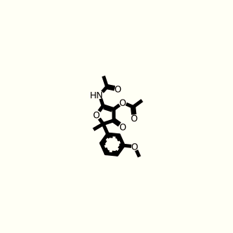 COc1cccc(C2(C)OC(NC(C)=O)=C(OC(C)=O)C2=O)c1